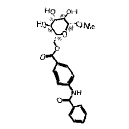 CO[C@@H]1O[C@H](COC(=O)c2ccc(NC(=O)c3ccccc3)cc2)[C@@H](O)[C@H](O)[C@H]1O